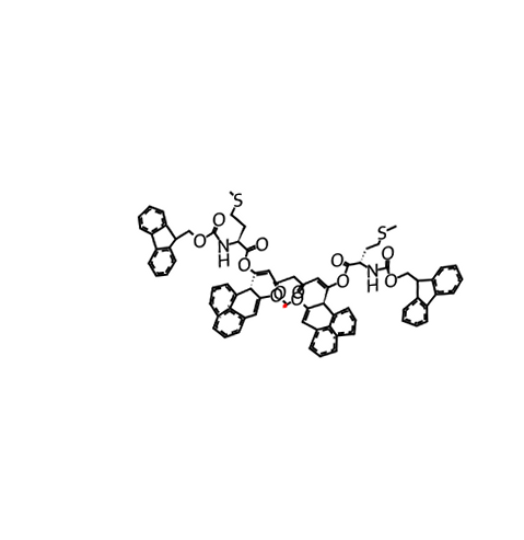 COC1=Cc2cccc3cccc(c23)[C@@H]1/C(=C\C(=O)CC(=O)/C=C(/OC(=O)[C@H](CCSC)NC(=O)OCC1c2ccccc2-c2ccccc21)[C@@H]1C(OC)=Cc2cccc3cccc1c23)OC(=O)[C@H](CCSC)NC(=O)OCC1c2ccccc2-c2ccccc21